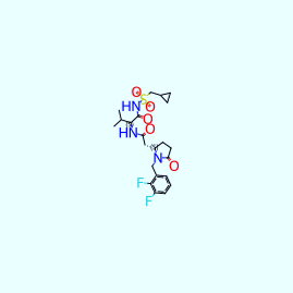 CC(C)[C@H](NC(=O)C[C@@H]1CCC(=O)N1Cc1cccc(F)c1F)C(=O)NS(=O)(=O)CC1CC1